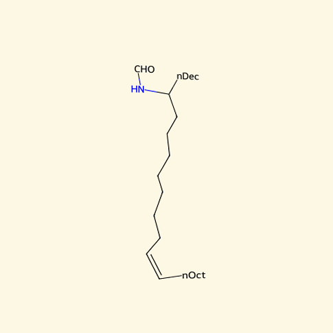 CCCCCCCC/C=C\CCCCCCCC(CCCCCCCCCC)NC=O